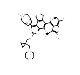 N#Cc1c(N)sc2c(F)cnc(-c3c4c(c5c(N6C7CCC6CNC7)nc(OCC6(CN7CCOCC7)CC6)nc5c3F)COC4)c12